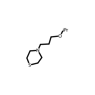 CC(C)OCCCN1CCSCC1